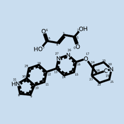 O=C(O)C=CC(=O)O.c1cc2cc(-c3ccc(OC4CN5CCC4CC5)nn3)ccc2[nH]1